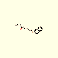 COC(=O)CCCCCSc1ccc2ccccc2c1